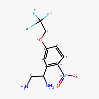 NCC(N)c1cc(OCC(F)(F)F)ccc1[N+](=O)[O-]